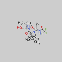 CC(C)[C@@H](CO)NC(=O)[C@@H]1[C@@H]2[C@H](CN1C(=O)[C@@H](NC(=O)C(F)(F)F)C1CC1)C2(C)C